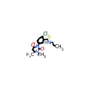 C=CCNC(=S)c1cc(-n2c(=O)cc(C(F)(F)F)n(C)c2=O)ccc1Cl